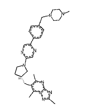 Cc1nc2nc(C)c(C[C@@H]3CCN(c4cnc(-c5ccc(CN6CCN(C)CC6)cc5)cn4)C3)c(C)n2n1